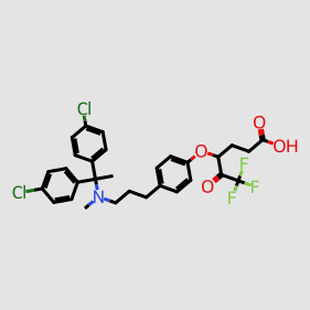 CN(CCCc1ccc(OC(CCC(=O)O)C(=O)C(F)(F)F)cc1)C(C)(c1ccc(Cl)cc1)c1ccc(Cl)cc1